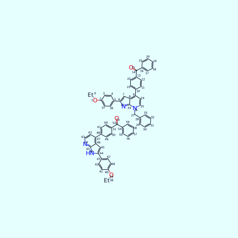 CCOc1ccc(-c2cc3c(-c4ccc(C(=O)c5ccccc5)cc4)ccn(Cc4ccccc4)c-3n2)cc1.CCOc1ccc(-c2cc3c(-c4ccc(C(=O)c5ccccc5)cc4)ccnc3[nH]2)cc1